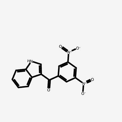 O=C(c1cc([N+](=O)[O-])cc([N+](=O)[O-])c1)c1c[nH]c2ccccc12